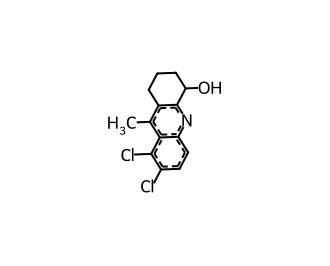 Cc1c2c(nc3ccc(Cl)c(Cl)c13)C(O)CCC2